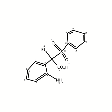 CCC(C(=O)O)(c1ccccc1N)S(=O)(=O)c1ccccc1